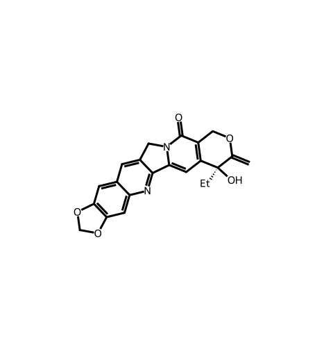 C=C1OCc2c(cc3n(c2=O)Cc2cc4cc5c(cc4nc2-3)OCO5)[C@@]1(O)CC